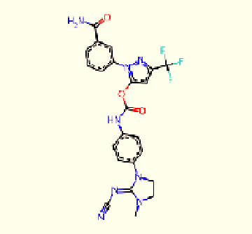 CN1CCN(c2ccc(NC(=O)Oc3cc(C(F)(F)F)nn3-c3cccc(C(N)=O)c3)cc2)C1=NC#N